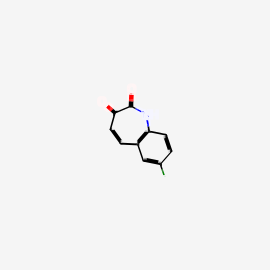 O=c1ccc2cc(Cl)ccc2[nH]c1=O